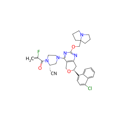 C=C(F)C(=O)N1CCN(c2nc(OCC34CCCN3CCC4)nc3c2CO[C@H](c2ccc(Cl)c4ccccc24)C3)C[C@@H]1CC#N